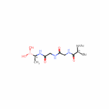 CCC(C)[C@H](NC(C)=O)C(=O)NCC(=O)NCC(=O)N[C@@H](C)B(O)O